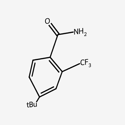 CC(C)(C)c1ccc(C(N)=O)c(C(F)(F)F)c1